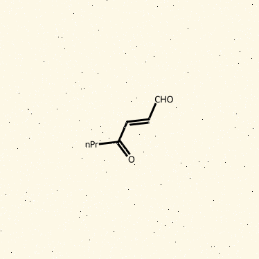 CCCC(=O)/C=C/C=O